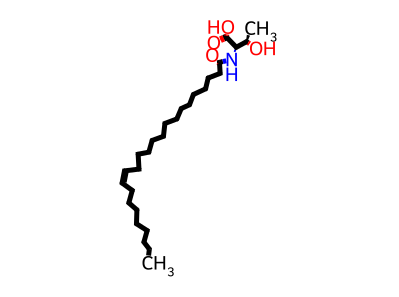 CCCCCCCC/C=C\CCCCCCCCCCCCCC(=O)N[C@H](C(=O)O)[C@@H](C)O